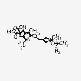 Cc1nc(OCC2CN(C(=O)OC(C)(C)C)C2)c(C)c2c1CC(C(=O)O)(C(=O)O)C2